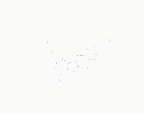 Nc1nc(OCCCC(F)(F)F)nc2c1nc(O)n2Cc1cccc(CC(=O)O)c1